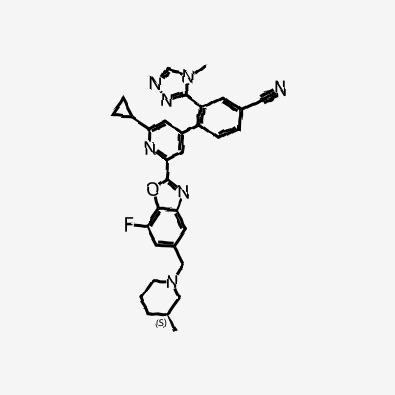 C[C@H]1CCCN(Cc2cc(F)c3oc(-c4cc(-c5ccc(C#N)cc5-c5nncn5C)cc(C5CC5)n4)nc3c2)C1